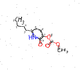 CCCCc1ccc(OC(=O)OC)c(=O)[nH]1